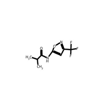 CC(C)C(=O)Nc1cc(C(F)(F)F)no1